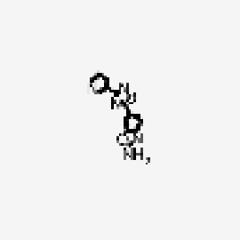 Nc1nc2ccc(-c3nc(-c4cccnc4)no3)cc2o1